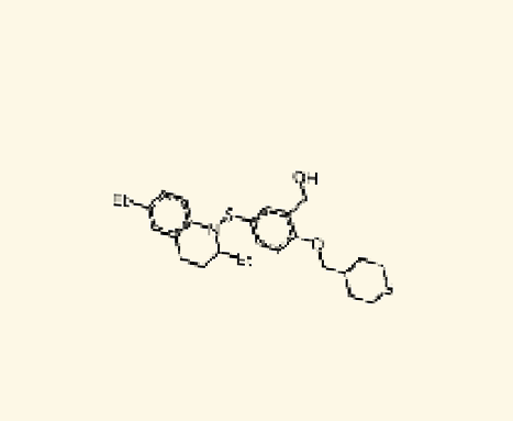 CCc1ccc2c(c1)CCC(CC)N2Sc1ccc(OCC2CCSCC2)c(CO)c1